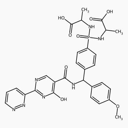 COc1ccc(C(NC(=O)c2cnc(-c3cccnn3)nc2O)c2ccc(P(=O)(NC(C)C(=O)O)NC(C)C(=O)O)cc2)cc1